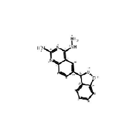 NNc1nc(N)nc2ccc(C3OOc4ccccc43)cc12